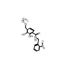 COOCc1ccc(C(=O)NCc2ccccc2[N+](=O)[O-])c(O)c1O